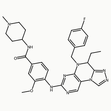 CCC1c2nncn2-c2cnc(Nc3ccc(C(=O)NC4CCN(C)CC4)cc3OC)nc2N1Cc1ccc(F)cc1